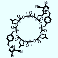 CC(C)CC[C@H]1C(=O)O[C@H](Cc2ccc(Cn3cc(Br)c(C#N)n3)cc2)C(=O)N(C)[C@@H](CC(C)C)C(=O)O[C@H](C)C(=O)N(C)[C@@H](CC(C)C)C(=O)O[C@H](Cc2ccc(Cn3cc(Br)c(C#N)n3)cc2)C(=O)N(C)[C@@H](CC(C)C)C(=O)O[C@H](C)C(=O)N1C